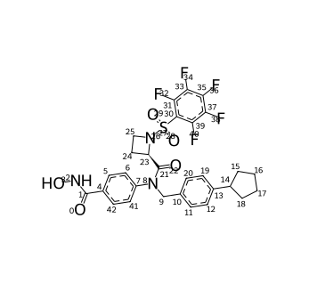 O=C(NO)c1ccc(N(Cc2ccc(C3CCCC3)cc2)C(=O)[C@H]2CCN2S(=O)(=O)c2c(F)c(F)c(F)c(F)c2F)cc1